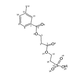 O=C(CCOC(=O)c1cccc(I)c1)OCCS(=O)(=O)O